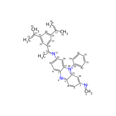 C=Nc1ccc2nc3ccc(/N=C(\C)c4cc(C(=C)C)cc(C(=C)C)c4)cc3[n+](-c3ccccc3)c2c1